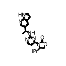 CC(Nc1nccc(N2C(=O)OCC2C(C)C)n1)c1cnc2[nH]ccc2c1